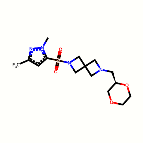 Cn1nc(C(F)(F)F)cc1S(=O)(=O)N1CC2(CN(C[C@@H]3COCCO3)C2)C1